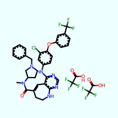 CN(C(=O)C1=Cc2c(ncnc2Nc2ccc(Oc3cccc(C(F)(F)F)c3)c(Cl)c2)NCC1)C1CCN(Cc2ccccc2)C1.O=C(O)C(F)(F)F.O=C(O)C(F)(F)F